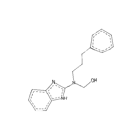 OCN(CCCc1ccccc1)c1nc2ccccc2[nH]1